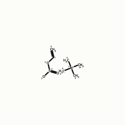 C=CO[Si](=O)[O-].C[N+](C)(C)C